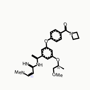 C=C(NC(=N)/C=C\NC)c1cc(Oc2ccc(C(=O)N3CCC3)cc2)cc(O[C@@H](C)COC)c1